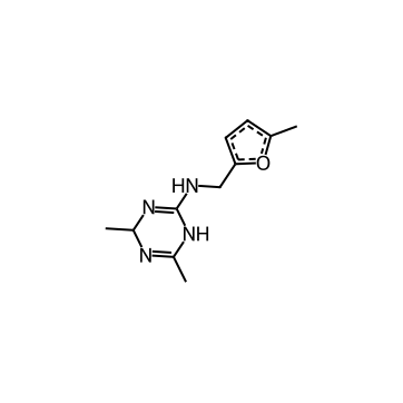 CC1=NC(C)N=C(NCc2ccc(C)o2)N1